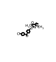 Cn1c(SCc2ccc(C(=O)c3ccc(Cl)cc3)cc2)nc2c(ccn2C)c1=O